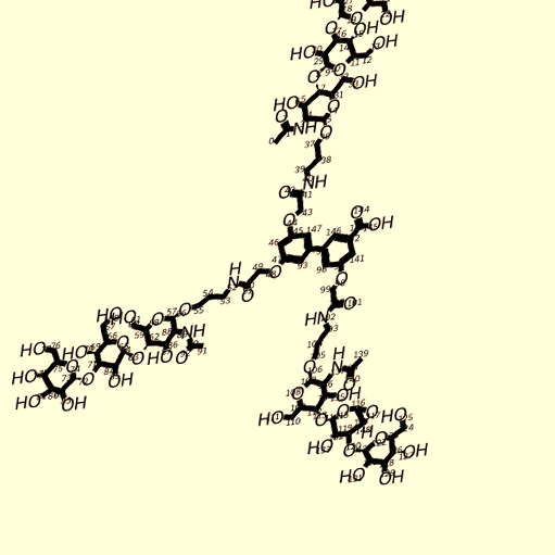 CC(=O)NC1C(O)[C@H](O[C@@H]2OC(CO)[C@H](O)C(O[C@H]3OC(CO)[C@H](O)C(O)C3O)C2O)C(CO)O[C@H]1OCCCNC(=O)COc1cc(OCC(=O)NCCCO[C@@H]2OC(CO)[C@@H](O[C@@H]3OC(CO)[C@H](O)C(O[C@H]4OC(CO)[C@H](O)C(O)C4O)C3O)C(O)C2NC(C)=O)cc(-c2cc(OCC(=O)NCCCO[C@@H]3OC(CO)[C@@H](O[C@@H]4OC5O[C@@H]5C(O[C@H]5OC(CO)[C@H](O)C(O)C5O)C4O)C(O)C3NC(C)=O)cc(C(=O)O)c2)c1